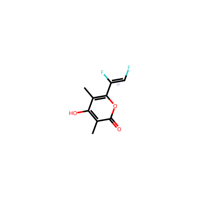 Cc1c(/C(F)=C/F)oc(=O)c(C)c1O